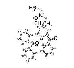 CCN(CC)OC.O=C(c1ccccc1)c1ccccc1.O=C(c1ccccc1)c1ccccc1